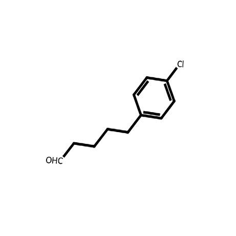 O=CCCCCc1ccc(Cl)cc1